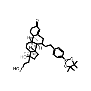 CC1(C)OB(c2ccc(CCC3CC4=CC(=O)CC[C@]4(C)[C@H]4CC[C@@]5(C)[C@@H](CC[C@]5(O)CCC(=O)O)[C@H]34)cc2)OC1(C)C